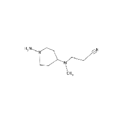 CN(CCC#N)C1CCN(N)CC1